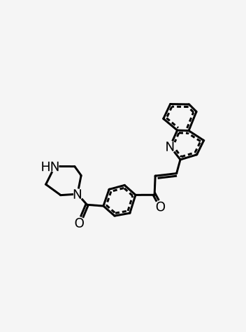 O=C(C=Cc1ccc2ccccc2n1)c1ccc(C(=O)N2CCNCC2)cc1